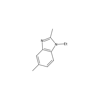 CCn1c(C)nc2cc(C)ccc21